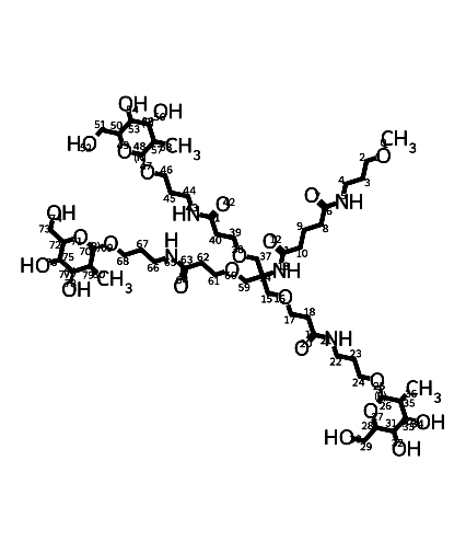 COCCCNC(=O)CCCC(=O)NC(COCCC(=O)NCCCO[C@@H]1OC(CO)C(O)[C@H](O)C1C)(COCCC(=O)NCCCO[C@@H]1OC(CO)C(O)[C@H](O)C1C)COCCC(=O)NCCCO[C@@H]1OC(CO)C(O)[C@H](O)C1C